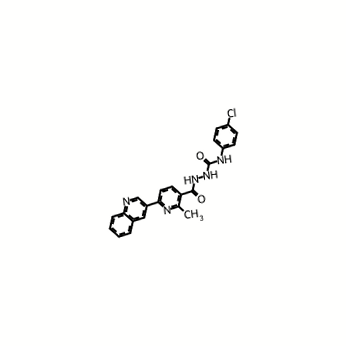 Cc1nc(-c2cnc3ccccc3c2)ccc1C(=O)NNC(=O)Nc1ccc(Cl)cc1